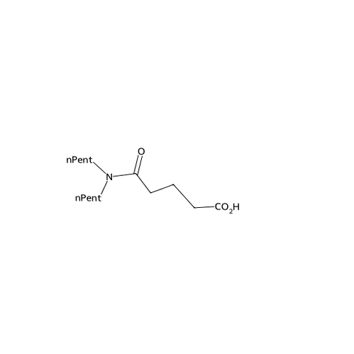 CCCCCN(CCCCC)C(=O)CCCC(=O)O